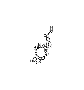 CCn1c(C2=C(C(C)C)NCC=C2)c2c3cc(ccc31)N1CCO[C@@H](CC(NC(=O)C(COC3CCN(C(=O)C#CC(C)(C)NC)CC3)C(C)C)C(=O)N3CCC[C@H](N3)C(=O)OCC(C)(C)C2)C1